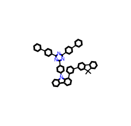 CC1(C)c2ccccc2-c2ccc(-c3cccc(-c4cccc5c6ccccc6n(-c6ccc(-c7nc(-c8ccc(-c9ccccc9)cc8)nc(-c8ccc(-c9ccccc9)cc8)n7)cc6)c45)c3)cc21